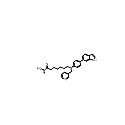 O=C(CCCCCCN(Cc1cccnc1)c1ccc(-c2ccc3cc[nH]c3c2)cc1)NO